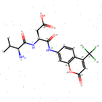 CC(C)[C@H](N)C(=O)N[C@@H](CC(=O)O)C(=O)Nc1ccc2c(C(F)(F)F)cc(=O)oc2c1